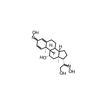 C[C@]12C[C@H](O)[C@@]3(F)[C@@H](CCC4=CC(=NO)C=C[C@@]43C)[C@@H]1CC[C@@H]2/C(CO)=N/O